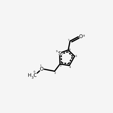 COCc1ccc(C=O)s1